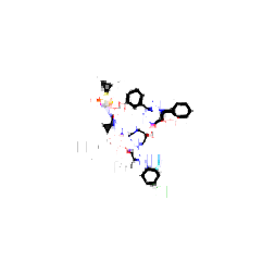 C=C[C@@H]1C[C@]1(NC(=O)[C@@H]1C[C@@H](Oc2nc(-c3ccc(C(F)(F)F)cc3)nc3c2oc2ccccc23)CN1C(=O)[C@@H](Nc1ccc(Cl)cc1F)C(C)(C)C)C(=O)NS(=O)(=O)C1CC1